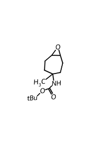 CC1(NC(=O)OC(C)(C)C)CCC2OC2CC1